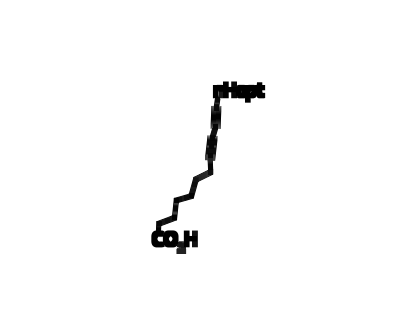 CCCCCCCC#CC#CCCCCCCC(=O)O